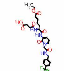 CCOC(=O)C=CCC[C@H](NC(=O)CCC(=O)O)C(=O)Nc1cccn(CC(=O)NCc2ccc(C(F)(F)F)cc2)c1=O